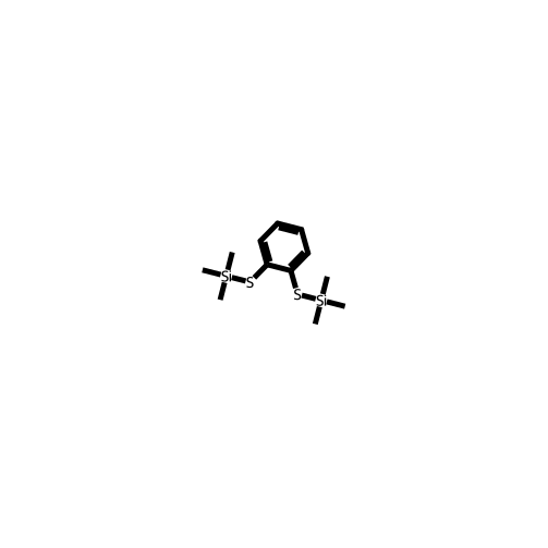 C[Si](C)(C)Sc1ccccc1S[Si](C)(C)C